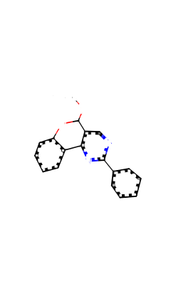 CCCCCCOC1Oc2ccccc2-c2nc(-c3ccccc3)ncc21